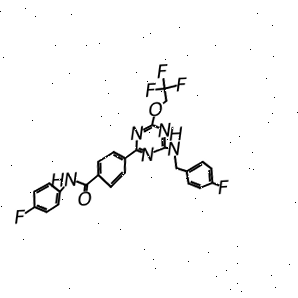 O=C(Nc1ccc(F)cc1)c1ccc(-c2nc(NCc3ccc(F)cc3)nc(OCC(F)(F)F)n2)cc1